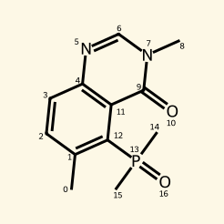 Cc1ccc2ncn(C)c(=O)c2c1P(C)(C)=O